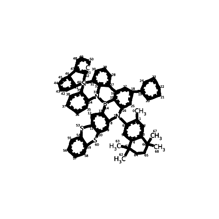 Cc1cc2c(cc1N1c3cc4c(cc3B3c5c(cc(-c6ccccc6)cc51)-c1cccc5c1N3c1ccccc1[Si]51c3ccccc3-c3ccccc31)Sc1ccccc1S4)C(C)(C)CCC2(C)C